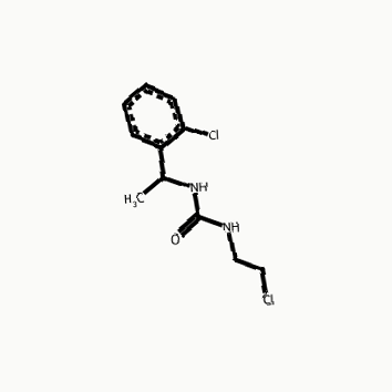 CC(NC(=O)NCCCl)c1ccccc1Cl